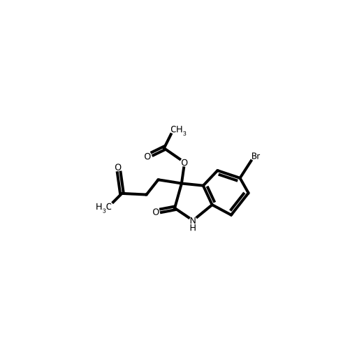 CC(=O)CCC1(OC(C)=O)C(=O)Nc2ccc(Br)cc21